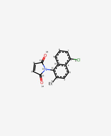 CCc1ccc2c(Cl)cccc2c1N1C(=O)C=CC1=O